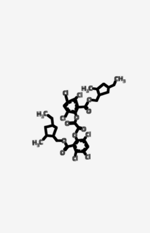 CCC1CC(C)C(COC(=O)c2c(Cl)c(Cl)cc(Cl)c2OC(=O)C(=O)Oc2c(Cl)cc(Cl)c(Cl)c2C(=O)OCC2CC(CC)CC2C)C1